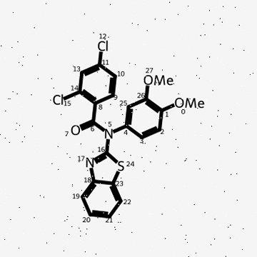 COc1ccc(N(C(=O)c2ccc(Cl)cc2Cl)c2nc3ccccc3s2)cc1OC